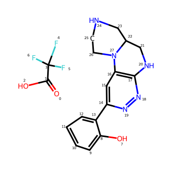 O=C(O)C(F)(F)F.Oc1ccccc1-c1cc2c(nn1)NCC1CNCCN21